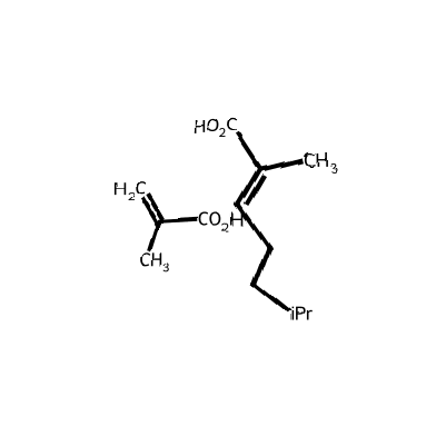 C=C(C)C(=O)O.CC(=CCCC(C)C)C(=O)O